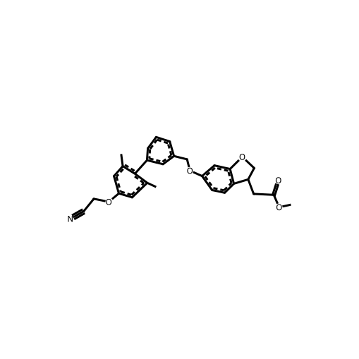 COC(=O)CC1COc2cc(OCc3cccc(-c4c(C)cc(OCC#N)cc4C)c3)ccc21